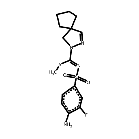 CS/C(=N\S(=O)(=O)c1ccc(N)c(F)c1)N1CC2(C=N1)CCCC2